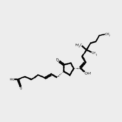 CCCCC(C)(C)C/C=C(/O)[C@H]1CC(=O)[C@@H](CC=CCCCC(=O)O)C1